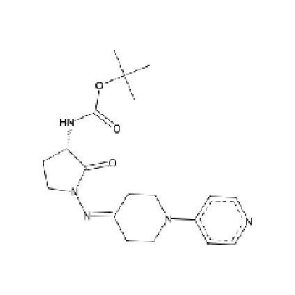 CC(C)(C)OC(=O)N[C@H]1CCN(N=C2CCN(c3ccncc3)CC2)C1=O